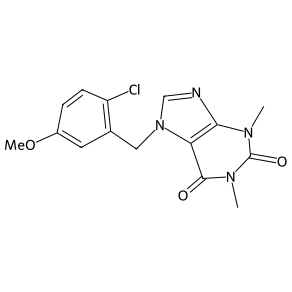 COc1ccc(Cl)c(Cn2cnc3c2c(=O)n(C)c(=O)n3C)c1